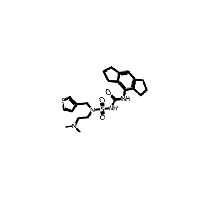 CN(C)CCN(Cc1ccsc1)S(=O)(=O)NC(=O)Nc1c2c(cc3c1CCC3)CCC2